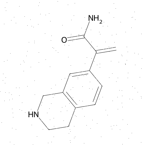 C=C(C(N)=O)c1ccc2c(c1)CNCC2